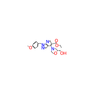 CCOC(=O)c1cnc2c(cnn2Cc2ccc(OC)cc2)c1N1CCO[C@H](CO)C1